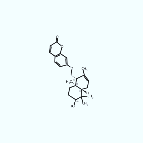 CC1=CC[C@@H]2C(C)(C)[C@@H](O)CC[C@@]2(C)[C@@H]1COc1ccc2ccc(=O)oc2c1